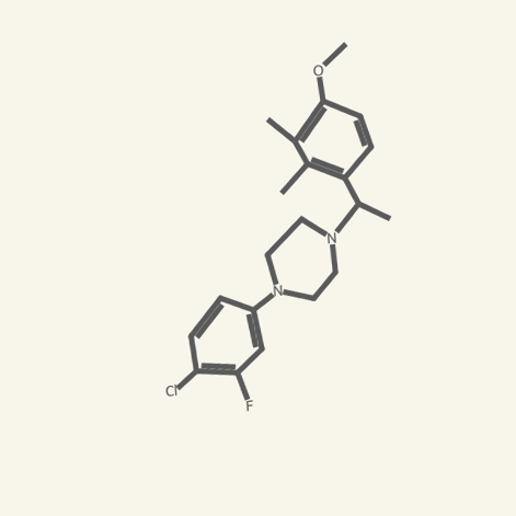 COc1ccc(C(C)N2CCN(c3ccc(Cl)c(F)c3)CC2)c(C)c1C